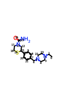 CCN1CCN(Cc2ccc(C3CN(C(N)=O)CCS3)cc2)CC1